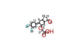 CC(C)(Oc1cc2c(cc1-c1ccc(F)c(F)c1)CCC2=O)C(=O)O